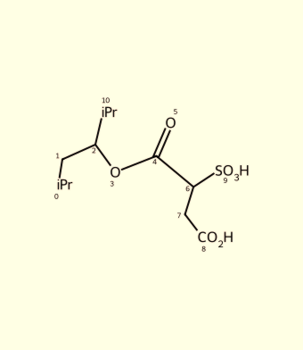 CC(C)CC(OC(=O)C(CC(=O)O)S(=O)(=O)O)C(C)C